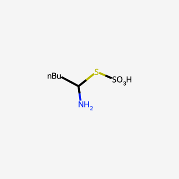 CCCCC(N)SS(=O)(=O)O